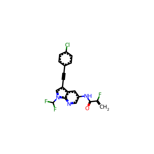 C=C(F)C(=O)Nc1cnc2c(c1)c(C#Cc1ccc(Cl)cc1)cn2C(F)F